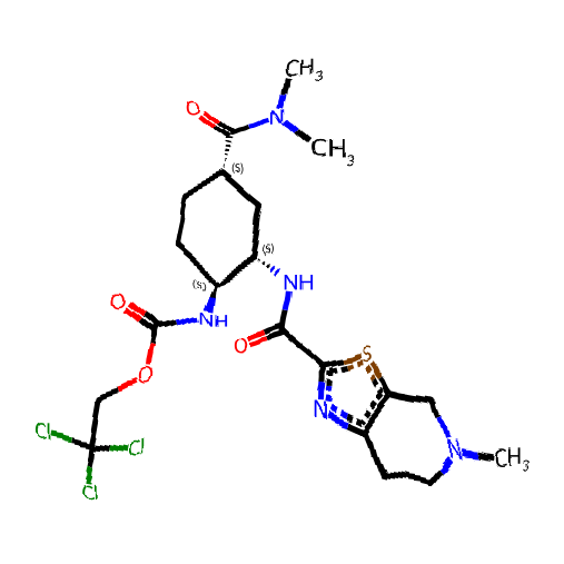 CN1CCc2nc(C(=O)N[C@H]3C[C@@H](C(=O)N(C)C)CC[C@@H]3NC(=O)OCC(Cl)(Cl)Cl)sc2C1